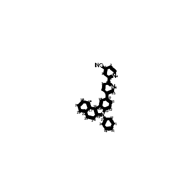 N#Cc1ccnc(-c2ccc(-c3ccc4c(c3)c3c5ccccc5ccc3n4-c3ccccc3)cn2)c1